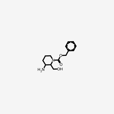 NC1CCCN(C(=O)OCc2ccccc2)C1CO